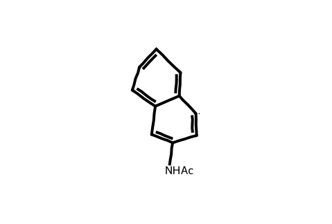 CC(=O)Nc1c[c]c2ccccc2c1